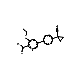 CCSc1cc(-c2ccc(C3(C#N)CC3)cc2)cnc1C(=O)O